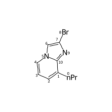 CCCc1cccn2cc(Br)nc12